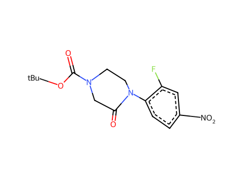 CC(C)(C)OC(=O)N1CCN(c2ccc([N+](=O)[O-])cc2F)C(=O)C1